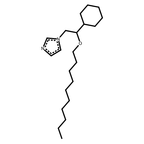 CCCCCCCCCCOC(Cn1ccnc1)C1CCCCC1